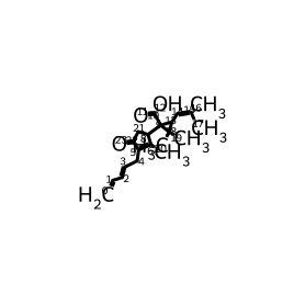 C=CC=CCC1=C(C)C(C2(C(=O)O)C(C=C(C)C)C2(C)C)CC1=O